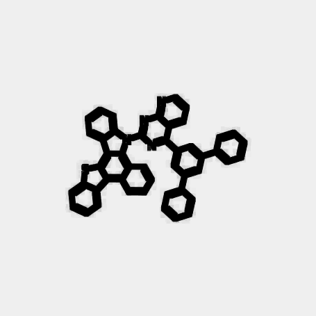 c1ccc(-c2cc(-c3ccccc3)cc(-c3nc(-n4c5ccccc5c5c6sc7ccccc7c6c6ccccc6c54)nc4ncccc34)c2)cc1